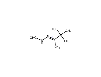 C/C(=N\NC=O)C(C)(C)C